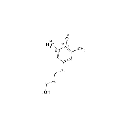 Cc1cc(SCCCO)cc(C)[n+]1[O-]